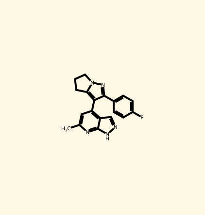 Cc1cc(-c2c(-c3ccc(F)cc3)nn3c2CCC3)c2cn[nH]c2n1